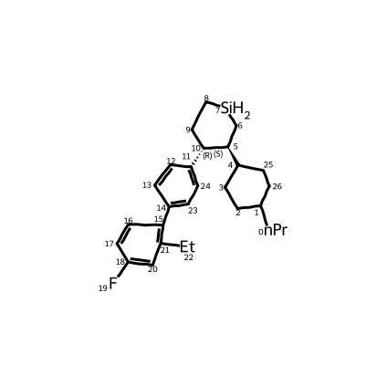 CCCC1CCC([C@@H]2C[SiH2]CC[C@H]2c2ccc(-c3ccc(F)cc3CC)cc2)CC1